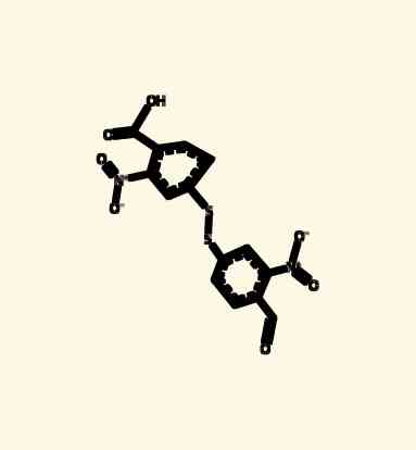 O=Cc1ccc(SSc2ccc(C(=O)O)c([N+](=O)[O-])c2)cc1[N+](=O)[O-]